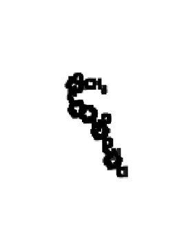 C[C@H]1CN(Cc2ccc3c(c2)CCC(n2ccc(OCc4ccc(Cl)cn4)cc2=O)=C3)CCO1